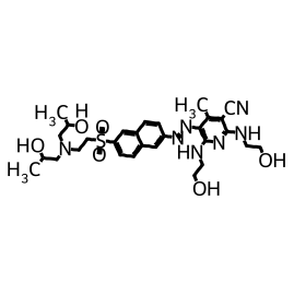 Cc1c(C#N)c(NCCO)nc(NCCO)c1/N=N/c1ccc2cc(S(=O)(=O)CCN(CC(C)O)CC(C)O)ccc2c1